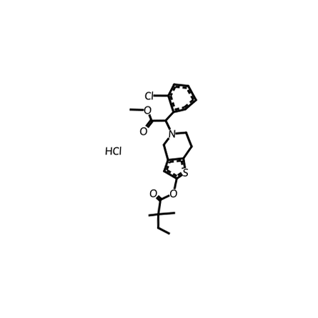 CCC(C)(C)C(=O)Oc1cc2c(s1)CCN(C(C(=O)OC)c1ccccc1Cl)C2.Cl